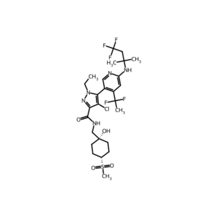 CCn1nc(C(=O)NC[C@]2(O)CC[C@@H](S(C)(=O)=O)CC2)c(Cl)c1-c1cnc(NC(C)(C)CC(F)(F)F)cc1C(C)(F)F